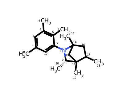 Cc1cc(C)c(C)c(N2[C@@H](C)C3(C)CC2(C)CC3C)c1